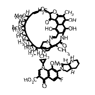 CO[C@H]1/C=C/O[C@@]2(C)Oc3c(C)c(O)c4c(O)c(c(/C=N/N5CCN(C)CC5)c(O)c4c3C2=O)NC(=O)/C(C)=C\C=C\[C@H](C)[C@H](O)[C@@H](C)[C@@H](O)[C@@H](C)[C@H](OC(C)=O)[C@@H]1C.COc1c(N2C[C@@H]3CCCN[C@@H]3C2)c(F)cc2c(=O)c(C(=O)O)cn(C3CC3)c12